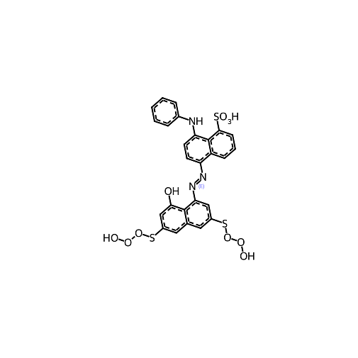 O=S(=O)(O)c1cccc2c(/N=N/c3cc(SOOO)cc4cc(SOOO)cc(O)c34)ccc(Nc3ccccc3)c12